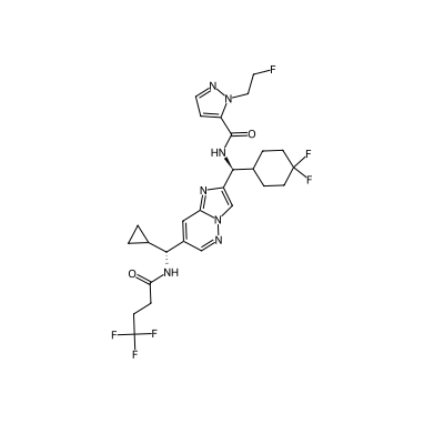 O=C(CCC(F)(F)F)N[C@@H](c1cnn2cc([C@@H](NC(=O)c3ccnn3CCF)C3CCC(F)(F)CC3)nc2c1)C1CC1